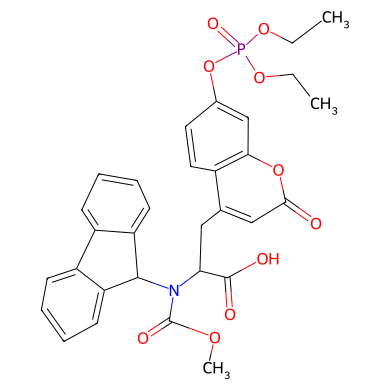 CCOP(=O)(OCC)Oc1ccc2c(CC(C(=O)O)N(C(=O)OC)C3c4ccccc4-c4ccccc43)cc(=O)oc2c1